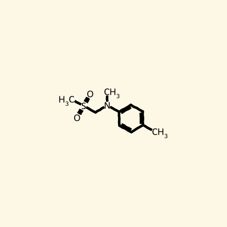 Cc1ccc(N(C)CS(C)(=O)=O)cc1